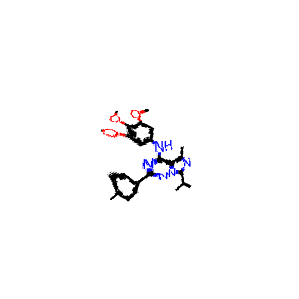 COc1cc(Nc2nc(-c3ccc(C)cc3)nn3c(C(C)C)nc(C)c23)cc(OC)c1OC